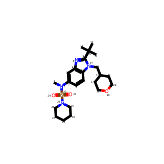 CN(c1ccc2c(c1)nc(C(C)(C)C)n2CC1CCOCC1)S(=O)(=O)N1CCCCC1